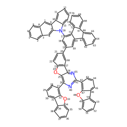 c1ccc2cc3c(cc2c1)c1ccccc1n3-c1cc(-c2ccc3oc4c(-c5cccc6c5oc5ccccc56)nc(-c5cccc6c5oc5ccccc56)nc4c3c2)cc2c3ccccc3c3ccccc3c12